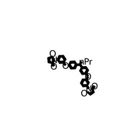 CCCC(c1ccc(Oc2cccc(N3C(=O)C=CC3=O)c2)cc1)c1ccc(Oc2cccc(N3C(=O)C=CC3=O)c2)cc1